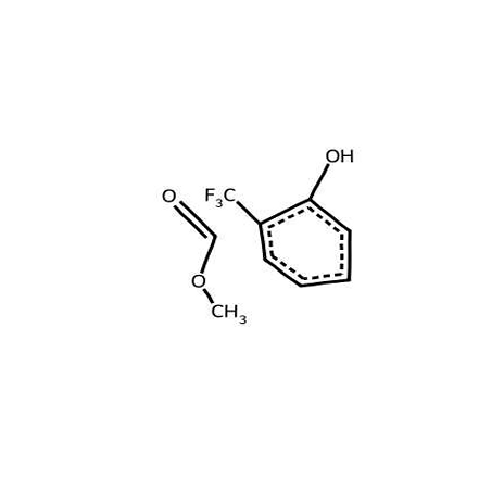 COC=O.Oc1ccccc1C(F)(F)F